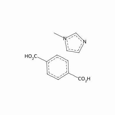 Cn1ccnc1.O=C(O)c1ccc(C(=O)O)cc1